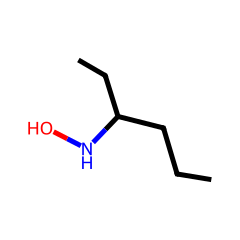 CCCC(CC)NO